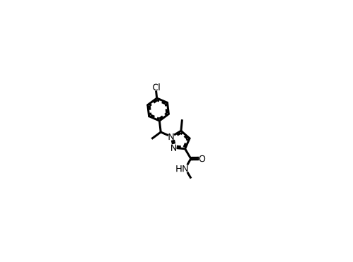 CNC(=O)c1cc(C)n(C(C)c2ccc(Cl)cc2)n1